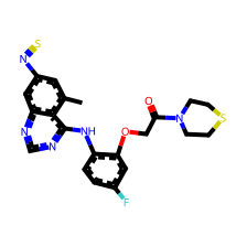 Cc1cc(N=S)cc2ncnc(Nc3ccc(F)cc3OCC(=O)N3CCSCC3)c12